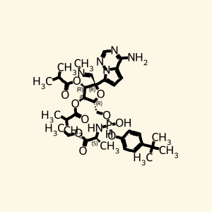 CCOC(=O)[C@H](C)N[PH](O)(OC[C@H]1O[C@@](C=NC)(c2ccc3c(N)ncnn23)[C@H](OC(=O)C(C)C)[C@@H]1OC(=O)C(C)C)Oc1ccc(C(C)(C)C)cc1